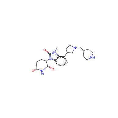 Cn1c(=O)n(C2CCC(=O)NC2=O)c2cccc(C3CCN(CC4CCNCC4)C3)c21